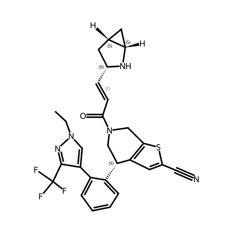 CCn1cc(-c2ccccc2[C@@H]2CN(C(=O)/C=C/[C@@H]3C[C@@H]4C[C@@H]4N3)Cc3sc(C#N)cc32)c(C(F)(F)F)n1